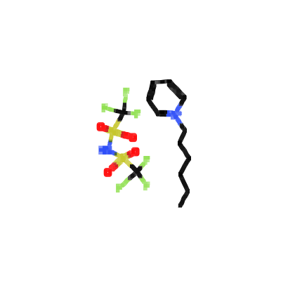 CCCCCC[n+]1ccccc1.O=S(=O)(NS(=O)(=O)C(F)(F)F)C(F)(F)F